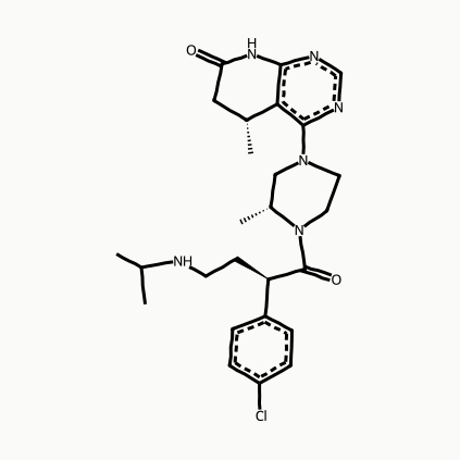 CC(C)NCC[C@@H](C(=O)N1CCN(c2ncnc3c2[C@H](C)CC(=O)N3)C[C@H]1C)c1ccc(Cl)cc1